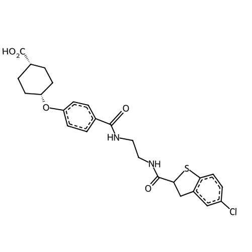 O=C(NCCNC(=O)C1Cc2cc(Cl)ccc2S1)c1ccc(O[C@H]2CC[C@@H](C(=O)O)CC2)cc1